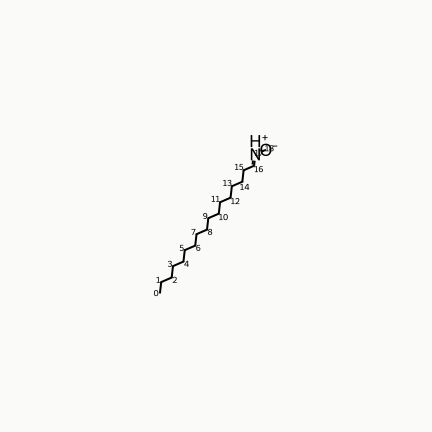 CCCCCCCCCCCCCCCCC=[NH+][O-]